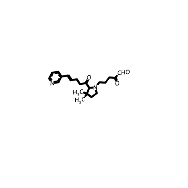 CC1(C)CCN(CCCC(=O)C=O)C1C(=O)CCC=Cc1cccnc1